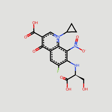 O=C(O)c1cn(C2CC2)c2c([N+](=O)[O-])c(N[C@@H](CO)C(=O)O)c(F)cc2c1=O